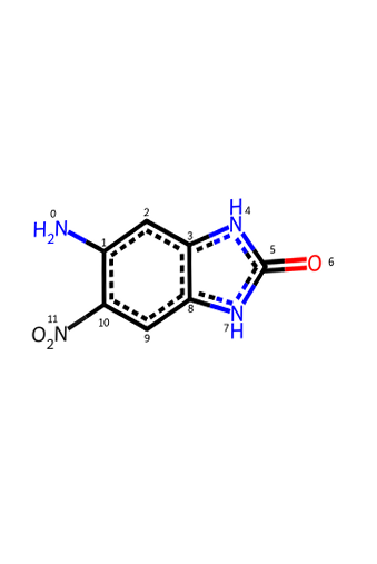 Nc1cc2[nH]c(=O)[nH]c2cc1[N+](=O)[O-]